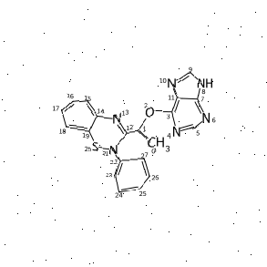 CC(Oc1ncnc2[nH]cnc12)C1=Nc2ccccc2SN1c1ccccc1